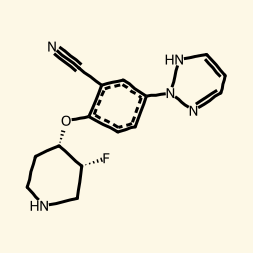 N#Cc1cc(N2N=CC=CN2)ccc1O[C@H]1CCNC[C@H]1F